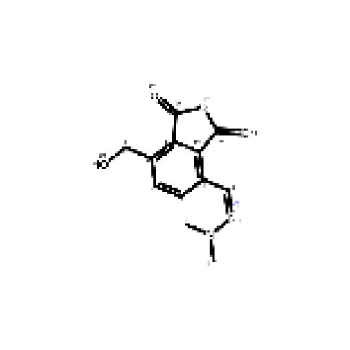 CN(C)/N=C\c1ccc(CO)c2c1C(=O)OC2=O